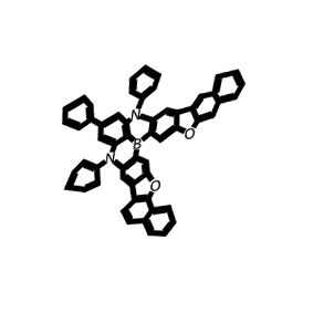 c1ccc(-c2cc3c4c(c2)N(c2ccccc2)c2cc5c(cc2B4c2cc4oc6cc7ccccc7cc6c4cc2N3c2ccccc2)oc2c3ccccc3ccc52)cc1